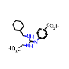 O=C(O)CNC(=Nc1ccc(C(=O)O)cc1)NCC1CCCCC1